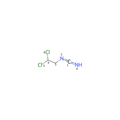 N=C=NCC(Cl)Cl